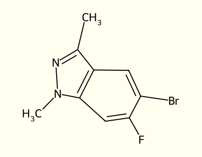 Cc1nn(C)c2cc(F)c(Br)cc12